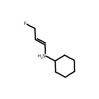 FCC=C[SiH2]C1CCCCC1